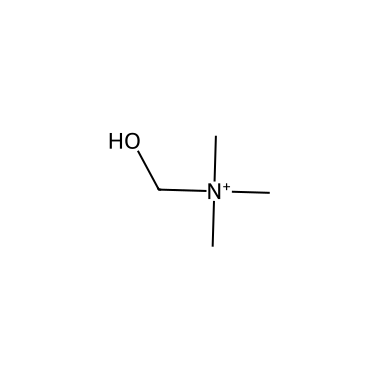 C[N+](C)(C)CO